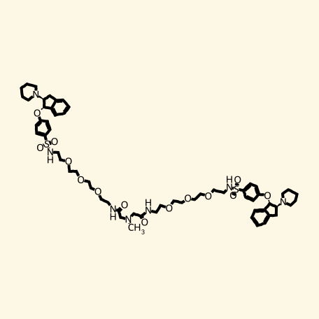 CN(CC(=O)NCCOCCOCCOCCNS(=O)(=O)c1ccc(O[C@H]2c3ccccc3C[C@@H]2N2CCCCC2)cc1)CC(=O)NCCOCCOCCOCCNS(=O)(=O)c1ccc(O[C@H]2c3ccccc3C[C@@H]2N2CCCCC2)cc1